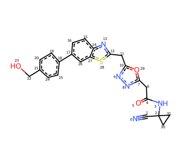 N#CC1(NC(=O)Cc2nnc(Cc3nc4ccc(-c5ccc(CO)cc5)cc4s3)o2)CC1